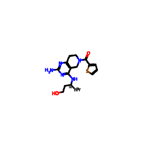 CCC[C@@H](CCO)Nc1nc(N)nc2c1CN(C(=O)c1cccs1)CC2